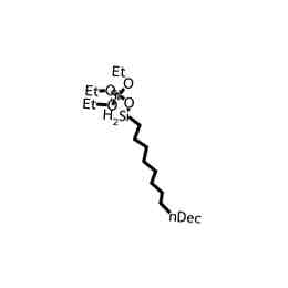 CCCCCCCCCCCCCCCCCC[SiH2]O[Si](OCC)(OCC)OCC